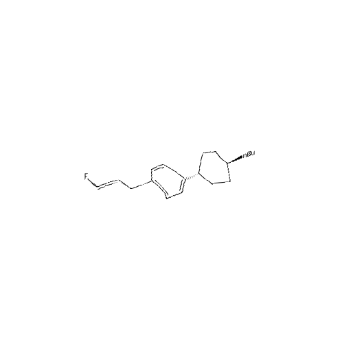 CCCC[C@H]1CC[C@H](c2ccc(CC=CF)cc2)CC1